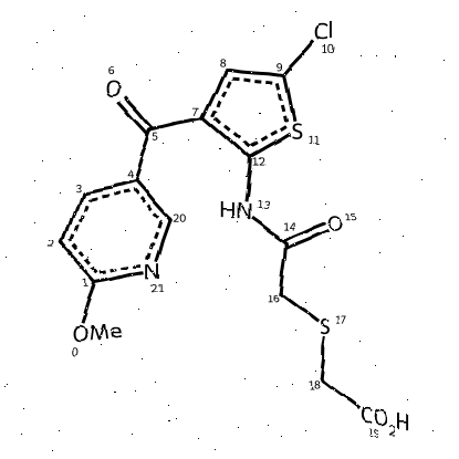 COc1ccc(C(=O)c2cc(Cl)sc2NC(=O)CSCC(=O)O)cn1